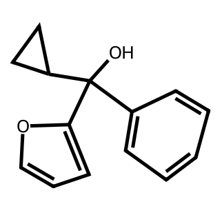 OC(c1ccccc1)(c1ccco1)C1CC1